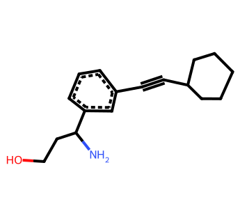 NC(CCO)c1cccc(C#CC2CCCCC2)c1